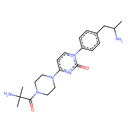 CC(N)Cc1ccc(-n2ccc(N3CCN(C(=O)C(C)(C)N)CC3)nc2=O)cc1